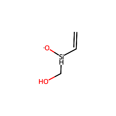 C=C[SiH]([O])CO